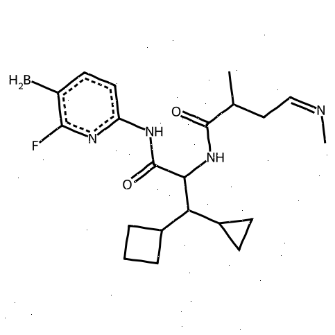 Bc1ccc(NC(=O)C(NC(=O)C(C)C/C=N\C)C(C2CCC2)C2CC2)nc1F